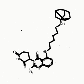 Cc1nc2cccc(NCCCCCCNC34CC5CC(CC(C5)C3)C4)c2c(=O)n1C1CCC(=O)NC1=O